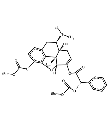 CCN(C)[C@@H]1Cc2ccc(OC(=O)OC(C)(C)C)c3c2[C@@]2(C)[C@@H](O3)C(OC(=O)[C@@H](OC(=O)OC(C)(C)C)c3ccccc3)=CC[C@@]12O